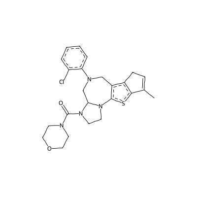 CC1=CCc2c1sc1c2CN(c2ccccc2Cl)CC2N(C(=O)N3CCOCC3)CCN12